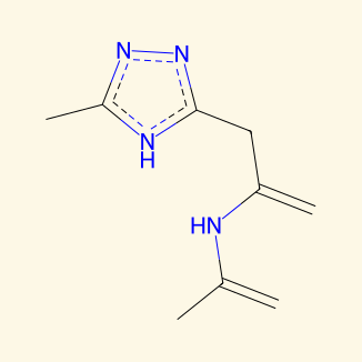 C=C(C)NC(=C)Cc1nnc(C)[nH]1